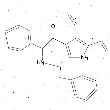 C=Cc1[nH]cc(C(=O)C(NCCc2ccccc2)c2ccccc2)c1C=C